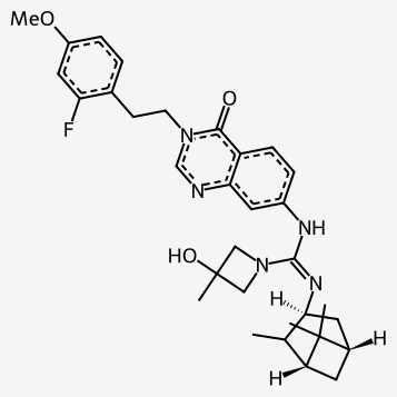 COc1ccc(CCn2cnc3cc(N/C(=N/[C@H]4C[C@@H]5C[C@H](C4C)C5(C)C)N4CC(C)(O)C4)ccc3c2=O)c(F)c1